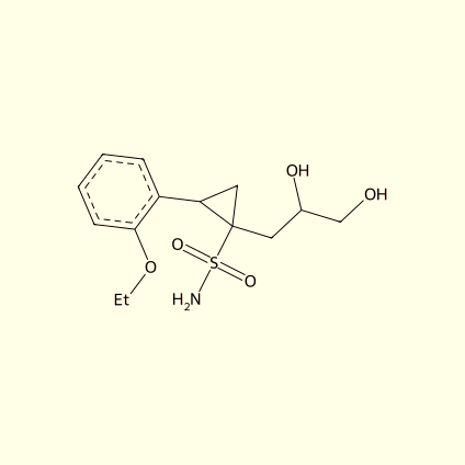 CCOc1ccccc1C1CC1(CC(O)CO)S(N)(=O)=O